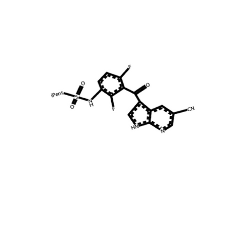 CCCC(C)S(=O)(=O)Nc1ccc(F)c(C(=O)c2c[nH]c3ncc(C#N)cc23)c1F